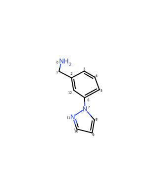 NCc1cccc(-n2cc[c]n2)c1